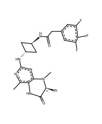 Cc1nc(N[C@H]2C[C@H](NC(=O)Cc3cc(F)c(F)c(F)c3)C2)nc2c1NC(=O)[C@H](C(C)C)N2C